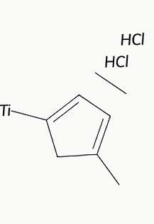 CC.CC1=CC=[C]([Ti])C1.Cl.Cl